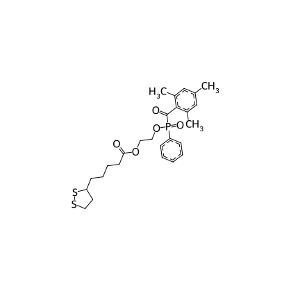 Cc1cc(C)c(C(=O)P(=O)(OCCOC(=O)CCCCC2CCSS2)c2ccccc2)c(C)c1